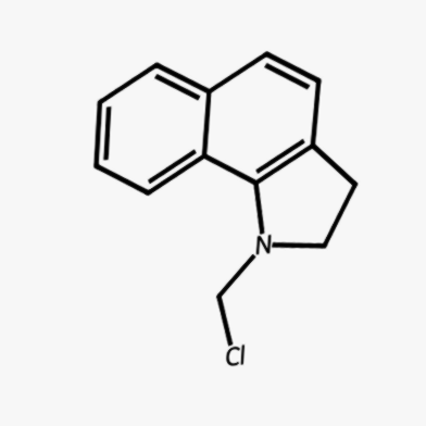 ClCN1CCc2ccc3ccccc3c21